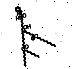 CCCCCCCCCCCOC(=O)CCCCCN(CCCCCCCC(=O)OC(CCCCCCCC)CCCCCCCC)CC(O)CCCCNC(=O)c1cc2ccccc2n1C